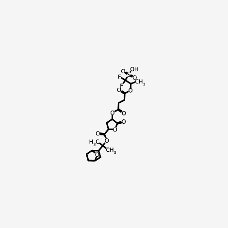 CC(OC(=O)CCC(=O)OC1CC(C(=O)OC(C)(C)C2CC3CCC2O3)OC1=O)C(F)(F)S(=O)(=O)O